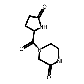 O=C1CN(C(=O)C2CCC(=O)N2)CCN1